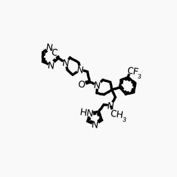 CN(Cc1cnc[nH]1)CC1(c2cccc(C(F)(F)F)c2)CCN(C(=O)CN2CCN(c3cnccn3)CC2)CC1